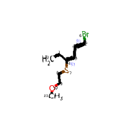 C=C/C(=C\C=C\Br)SCCOC